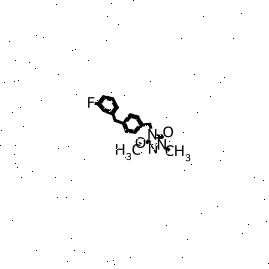 COc1nn(C)c(=O)n1Cc1ccc(Cc2cccc(F)c2)cc1